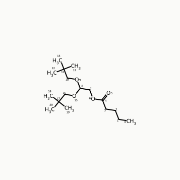 CCCCC(=O)OCC(OCC(C)(C)C)OCC(C)(C)C